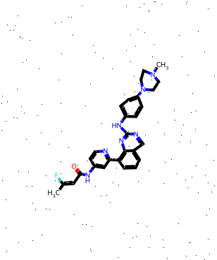 CC(F)=CC(=O)Nc1ccnc(-c2cccc3cnc(Nc4ccc(N5CCN(C)CC5)cc4)nc23)c1